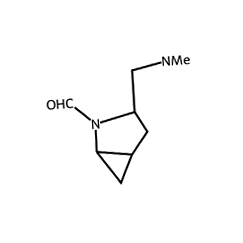 CNCC1CC2CC2N1C=O